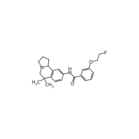 CC1(C)CN2CCCC2c2cc(NC(=O)c3cccc(OCCF)c3)ccc21